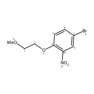 COCCOc1ccc(Br)cc1[N+](=O)[O-]